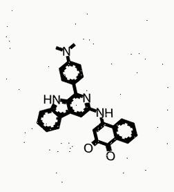 CN(C)c1ccc(-c2nc(NC3=CC(=O)C(=O)c4ccccc43)cc3c2[nH]c2ccccc23)cc1